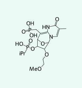 COCCOC1C(OP(=O)(O)C(C)C)C2OC1N1C=C(C)C(=O)NC1=C2CP(=O)(O)O